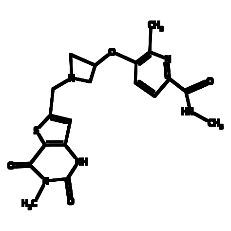 CNC(=O)c1ccc(OC2CN(Cc3cc4[nH]c(=O)n(C)c(=O)c4s3)C2)c(C)n1